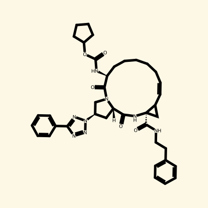 O=C(N[C@H]1CCCCC/C=C\C2C[C@@]2(C(=O)NCCc2ccccc2)NC(=O)[C@@H]2C[C@@H](n3nnc(-c4ccccc4)n3)CN2C1=O)OC1CCCC1